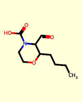 CCCCC1OCCN(C(=O)O)C1C=O